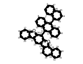 c1ccc2c(-c3c4ccccc4c(-c4c5oc6ccccc6c5cc5c4oc4c6ccccc6ccc54)c4ccccc34)cccc2c1